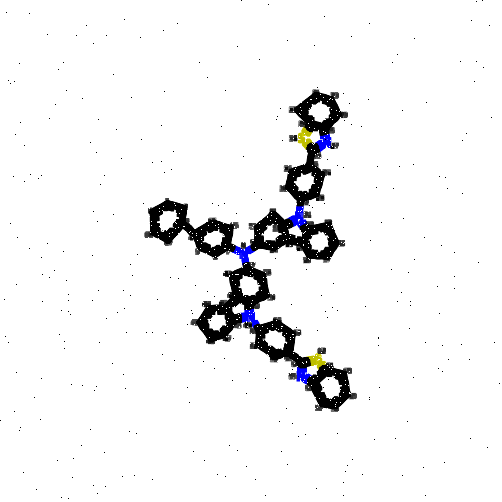 c1ccc(-c2ccc(N(c3ccc4c(c3)c3ccccc3n4-c3ccc(-c4nc5ccccc5s4)cc3)c3ccc4c(c3)c3ccccc3n4-c3ccc(-c4nc5ccccc5s4)cc3)cc2)cc1